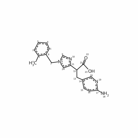 Cc1ccccc1Cn1cnc(C(Cc2ccc(N)nc2)C(=O)O)c1